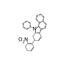 O=[N+]([O-])C1=C(C2C=Cc3c(n(-c4ccccc4)c4c3ccc3ccccc34)C2)C=CCC1